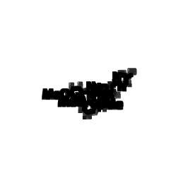 COc1ccc(-c2nnc(NS(=O)(=O)[C@@H](C)Cc3ncc(C)cn3)n2-c2c(OC)cccc2OC)nc1